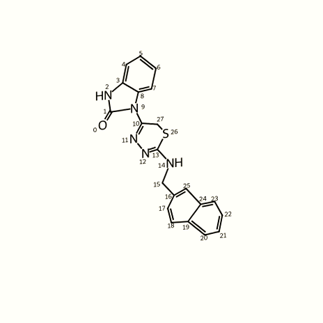 O=c1[nH]c2ccccc2n1C1=NN=C(NCc2ccc3ccccc3c2)SC1